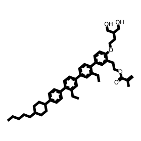 C=C(C)C(=O)OCCc1cc(-c2ccc(-c3ccc(-c4ccc(C5CCC(CCCCC)CC5)cc4)c(CC)c3)cc2CC)ccc1OCCC(CO)CO